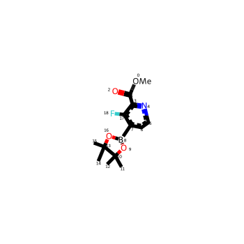 COC(=O)c1nccc(B2OC(C)(C)C(C)(C)O2)c1F